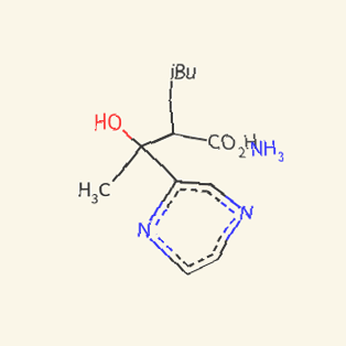 CCC(C)C(C(=O)O)C(C)(O)c1cnccn1.N